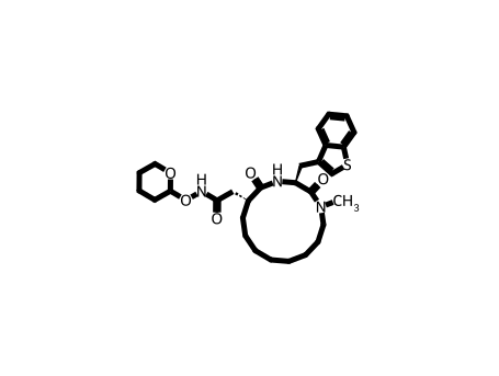 CN1CCCCCCCC[C@H](CC(=O)NOC2CCCCO2)C(=O)N[C@@H](Cc2csc3ccccc23)C1=O